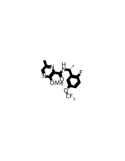 COc1ncc(C)nc1C(=O)N[C@H](C)c1cc(OC(F)(F)F)ccc1F